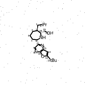 CC(C)C[C@@H]1CCC[C@@H](c2cnc3oc(C(C)(C)C)cc3n2)N[C@H]1CO